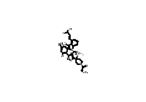 C=CC(=O)N1CCC(c2onc(-c3c(Cl)cc(Cl)cc3Cl)c2C(=O)n2cc(C)c3c(/C=C/C(=O)O)cccc32)(N(C)C)CC1